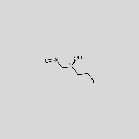 O=NC[C@@H](O)CCI